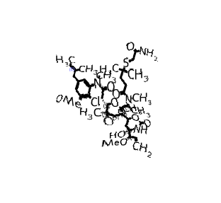 C=C[C@@H](OC)[C@@]1(O)CC([C@@H](C)[C@@H]2O[C@@]2(C)[C@H](CC(=O)N(C)c2cc(C/C(C)=C/C)cc(OC)c2Cl)OC(=O)[C@H](C)N(C)C(=O)CCC(C)(C)SCC(N)=O)OC(=O)N1